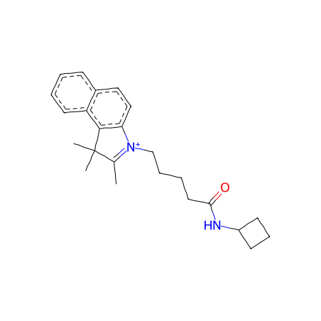 CC1=[N+](CCCCC(=O)NC2CCC2)c2ccc3ccccc3c2C1(C)C